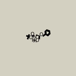 CC(C)(C)OC(=O)NC[C@H](CO)OCc1ccccc1